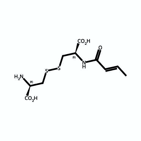 CC=CC(=O)N[C@@H](CSSC[C@H](N)C(=O)O)C(=O)O